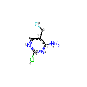 Nc1nc(Cl)ncc1CF